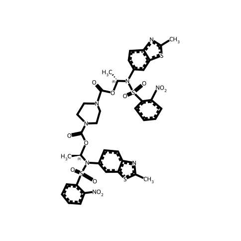 Cc1nc2ccc(N([C@@H](C)OC(=O)N3CCN(C(=O)O[C@H](C)N(c4ccc5nc(C)sc5c4)S(=O)(=O)c4ccccc4[N+](=O)[O-])CC3)S(=O)(=O)c3ccccc3[N+](=O)[O-])cc2s1